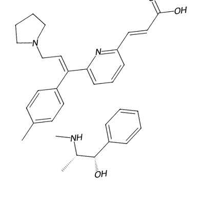 CN[C@@H](C)[C@@H](O)c1ccccc1.Cc1ccc(/C(=C\CN2CCCC2)c2cccc(/C=C/C(=O)O)n2)cc1